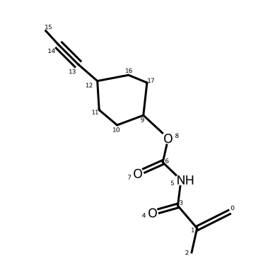 C=C(C)C(=O)NC(=O)OC1CCC(C#CC)CC1